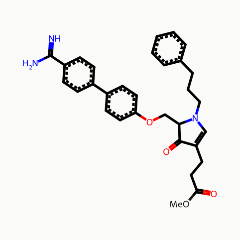 COC(=O)CCC1=CN(CCCc2ccccc2)C(COc2ccc(-c3ccc(C(=N)N)cc3)cc2)C1=O